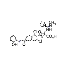 C/N=C(/NC[C@H](NC(=O)c1c(Cl)cc2c(c1Cl)CCN(C(=O)/C=C/c1ccccc1O)C2)C(=O)O)N1CCCC1